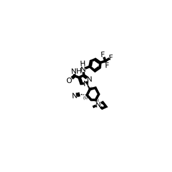 C[N+]1([C@H]2CC[C@H](n3cc(C(N)=O)c(Nc4ccc(C(F)(F)F)cc4)n3)[C@@H](C#N)C2)CCC1